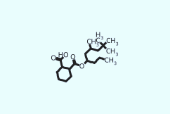 CCCC(CC(C)CC(C)(C)C)OC(=O)C1CCCCC1C(=O)O